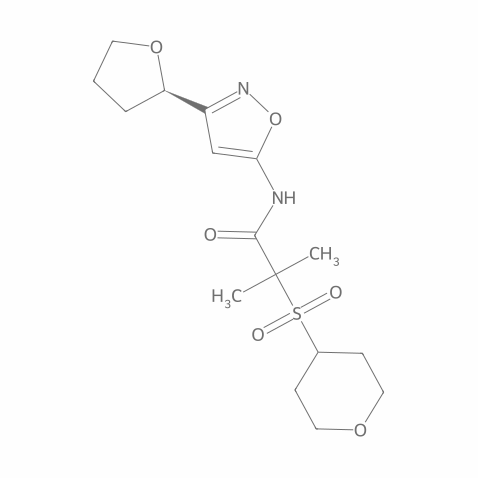 CC(C)(C(=O)Nc1cc([C@H]2CCCO2)no1)S(=O)(=O)C1CCOCC1